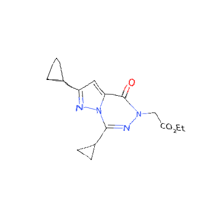 CCOC(=O)Cn1nc(C2CC2)n2nc(C3CC3)cc2c1=O